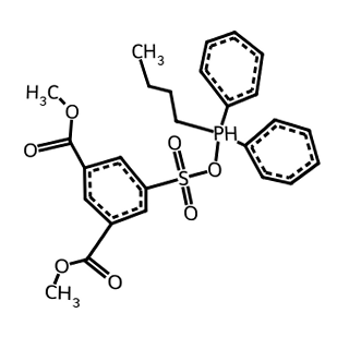 CCCC[PH](OS(=O)(=O)c1cc(C(=O)OC)cc(C(=O)OC)c1)(c1ccccc1)c1ccccc1